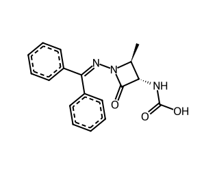 C[C@H]1[C@H](NC(=O)O)C(=O)N1N=C(c1ccccc1)c1ccccc1